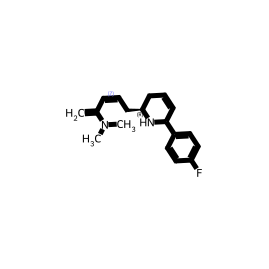 C=C(/C=C\C[C@H]1CC=CC(c2ccc(F)cc2)N1)N(C)C